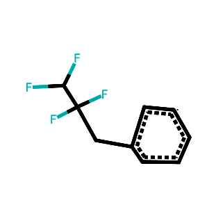 FC(F)C(F)(F)Cc1c[c]ccc1